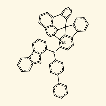 CCc1ccc2cccc3c2c1C1(c2ccccc2-c2ccc(N(c4ccc(-c5ccccc5)cc4)c4cccc5c4sc4ccccc45)cc21)c1ccccc1-3